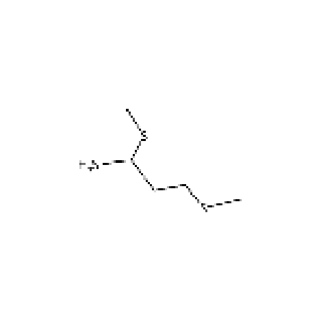 CSCCC([SiH3])SC